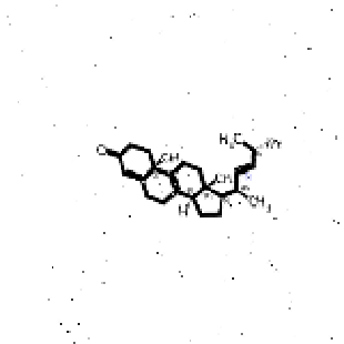 CC(C)[C@@H](C)/C=C/[C@@H](C)[C@H]1CC[C@H]2C3=C(CC[C@]12C)[C@@]1(C)CCC(=O)C=C1CC3